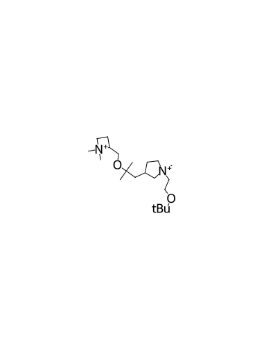 CC(C)(C)OCC[N+]1(C)CCC(CC(C)(C)OCC2CC[N+]2(C)C)C1